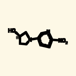 O=[N+]([O-])c1ccc(N2CC[C@@H](O)C2)cn1